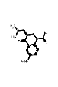 CCC(=O)N1C/C(=C/N(C)C)C(=O)c2cc(NC(C)=O)ccc21